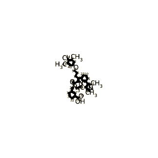 Cc1cc(OCCCc2c3n(c4c(-c5c(C)nn(C)c5C)cccc24)CCN(Cc2cccc(C(=O)O)c2)C3=O)cc(C)c1Cl